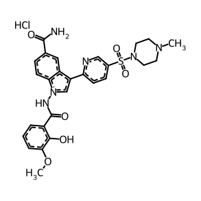 COc1cccc(C(=O)Nn2cc(-c3ccc(S(=O)(=O)N4CCN(C)CC4)cn3)c3cc(C(N)=O)ccc32)c1O.Cl